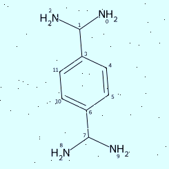 NC(N)c1ccc(C(N)N)cc1